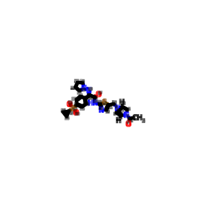 CC(=O)N1C[C@@H]2C[C@H]1CN2Cc1cnc(NC(=O)/C(=N/N2CCCC2)c2ccc(S(=O)(=O)C3CC3)cc2)s1